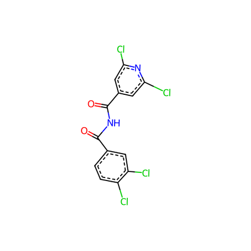 O=C(NC(=O)c1ccc(Cl)c(Cl)c1)c1cc(Cl)nc(Cl)c1